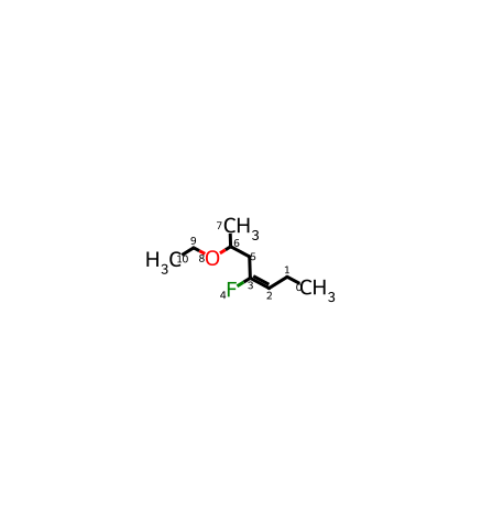 CC/C=C(/F)CC(C)OCC